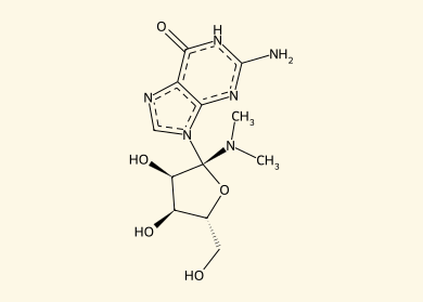 CN(C)[C@@]1(n2cnc3c(=O)[nH]c(N)nc32)O[C@H](CO)[C@@H](O)[C@H]1O